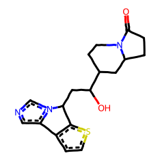 O=C1CCC2CC(C(O)CC3c4sccc4-c4cncn43)CCN12